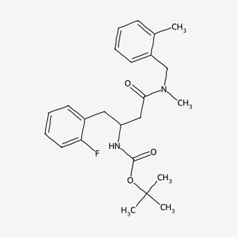 Cc1ccccc1CN(C)C(=O)CC(Cc1ccccc1F)NC(=O)OC(C)(C)C